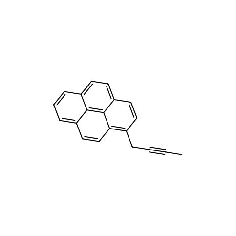 CC#CCc1ccc2ccc3cccc4ccc1c2c34